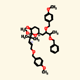 COc1ccc(COC/C=C/C(C)(C)[C@]2(OC)O[C@H](CC(OCc3ccc(OC)cc3)C(C)OCc3ccccc3)CCC2=O)cc1